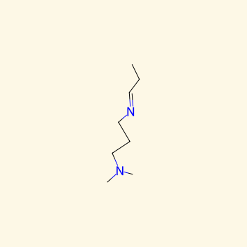 CCC=NCCCN(C)C